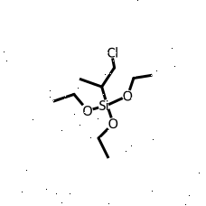 CCO[Si](OCC)(OCC)C(C)CCl